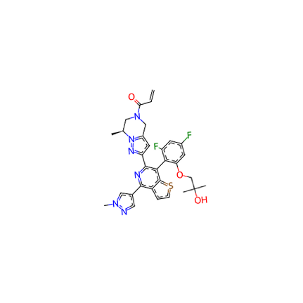 C=CC(=O)N1Cc2cc(-c3nc(-c4cnn(C)c4)c4ccsc4c3-c3c(F)cc(F)cc3OCC(C)(C)O)nn2[C@@H](C)C1